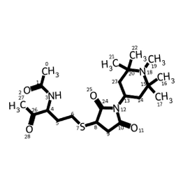 CC(=O)NC(CCSC1CC(=O)N(C2CC(C)(C)N(C)C(C)(C)C2)C1=O)C(C)=O